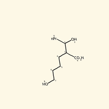 CCCC(O)C(CCCCO)C(=O)O